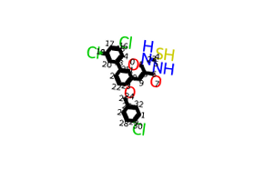 O=C1NC(S)NC(=O)C1=Cc1cc(-c2cc(Cl)cc(Cl)c2)ccc1OCc1ccc(Cl)cc1